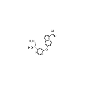 NCC(O)c1cc(Oc2ccc3c(ccn3C(=O)O)c2)ncn1